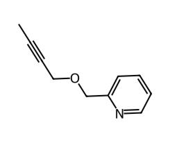 CC#CCOCc1ccccn1